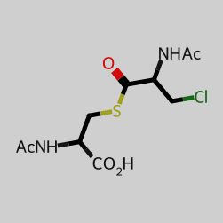 CC(=O)NC(CSC(=O)C(CCl)NC(C)=O)C(=O)O